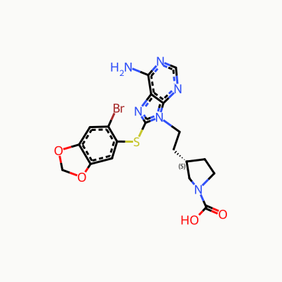 Nc1ncnc2c1nc(Sc1cc3c(cc1Br)OCO3)n2CC[C@@H]1CCN(C(=O)O)C1